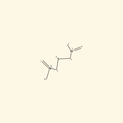 C=[N+](C)CSC[N+](=C)C